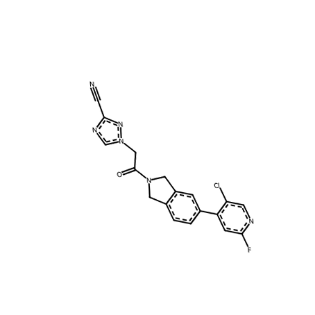 N#Cc1ncn(CC(=O)N2Cc3ccc(-c4cc(F)ncc4Cl)cc3C2)n1